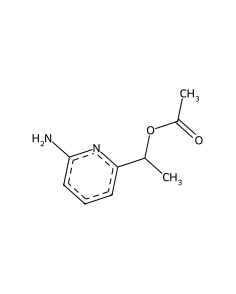 CC(=O)OC(C)c1cccc(N)n1